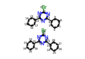 Brc1nc(-c2ccccc2)nc(-c2ccccc2)n1.Brc1nc(-c2ccccc2)nc(-c2ccccc2)n1